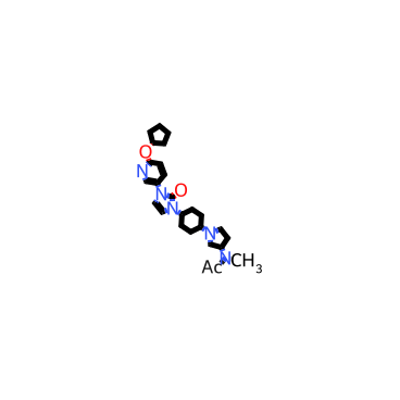 CC(=O)N(C)C1CCN(C2CCC(n3ccn(-c4ccc(OC5CCCC5)nc4)c3=O)CC2)C1